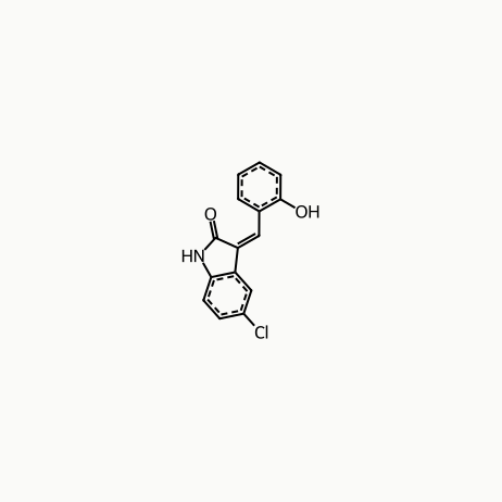 O=C1Nc2ccc(Cl)cc2/C1=C/c1ccccc1O